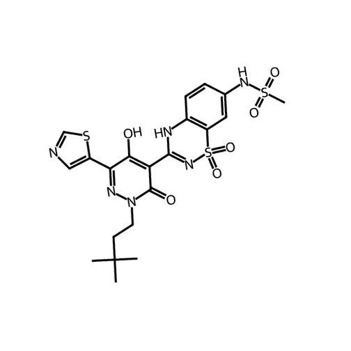 CC(C)(C)CCn1nc(-c2cncs2)c(O)c(C2=NS(=O)(=O)c3cc(NS(C)(=O)=O)ccc3N2)c1=O